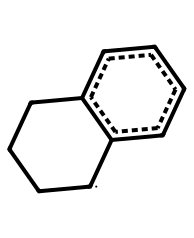 [CH]1CCCc2ccccc21